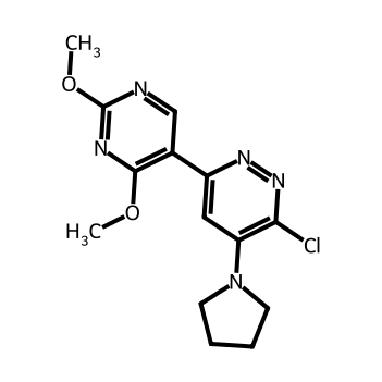 COc1ncc(-c2cc(N3CCCC3)c(Cl)nn2)c(OC)n1